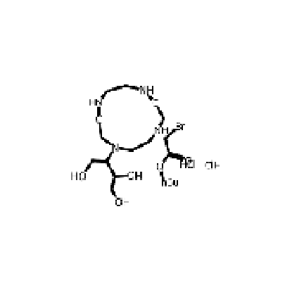 CCCCOC(=O)CBr.Cl.Cl.OCC(O)C(CO)N1CCNCCNCCNCC1